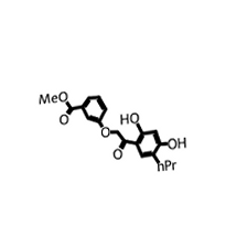 CCCc1cc(C(=O)COc2cccc(C(=O)OC)c2)c(O)cc1O